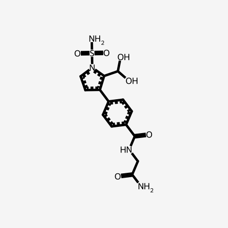 NC(=O)CNC(=O)c1ccc(-c2ccn(S(N)(=O)=O)c2C(O)O)cc1